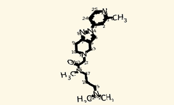 Cc1cc(-n2cc3c(n2)CCN(CC(=O)N(C)CCCN(C)C)C3)ccn1